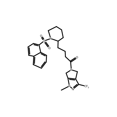 Cn1nc(C(F)(F)F)c2c1CN(C(=O)CCCC1CCCCN1S(=O)(=O)c1cccc3ccccc13)C2